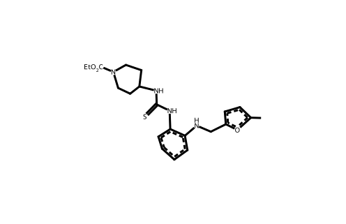 CCOC(=O)N1CCC(NC(=S)Nc2ccccc2NCc2ccc(C)o2)CC1